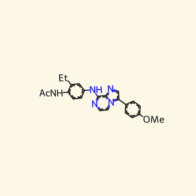 CCc1cc(Nc2nccn3c(-c4ccc(OC)cc4)cnc23)ccc1NC(C)=O